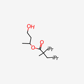 CC(C)CC(C)(C(=O)OC(C)CCO)C(C)C